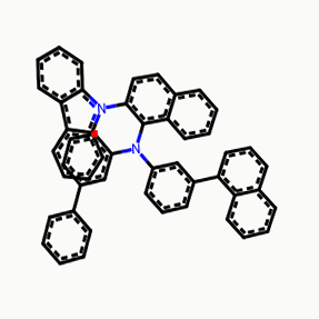 c1ccc(-c2cccc(N(c3cccc(-c4cccc5ccccc45)c3)c3c(-n4c5ccccc5c5ccccc54)ccc4ccccc34)c2)cc1